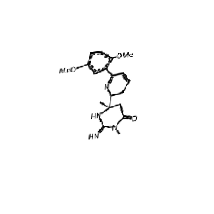 COc1ccc(OC)c(C2=NC([C@]3(C)CC(=O)N(C)C(=N)N3)CC=C2)c1